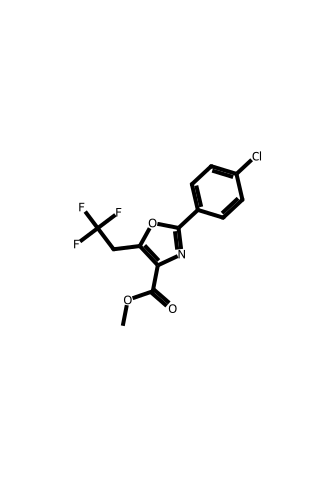 COC(=O)c1nc(-c2ccc(Cl)cc2)oc1CC(F)(F)F